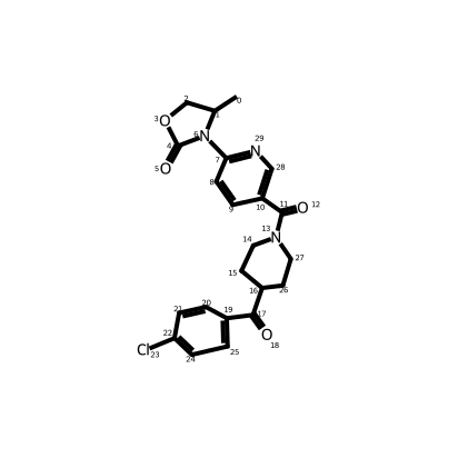 CC1COC(=O)N1c1ccc(C(=O)N2CCC(C(=O)c3ccc(Cl)cc3)CC2)cn1